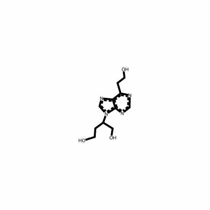 OCCc1ncnc2c1ncn2C(CO)CCO